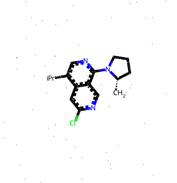 [CH2][C@H]1CCCN1c1ncc(C(C)C)c2cc(Cl)ncc12